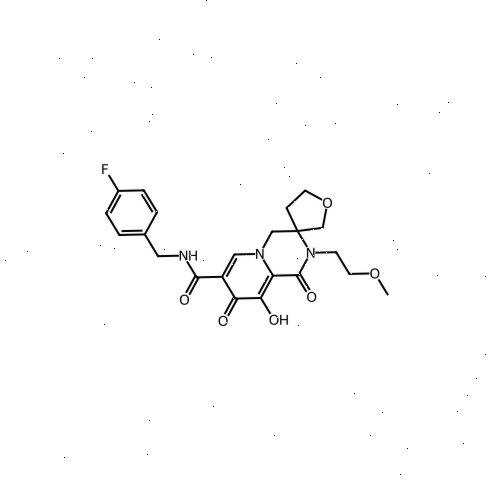 COCCN1C(=O)c2c(O)c(=O)c(C(=O)NCc3ccc(F)cc3)cn2CC12CCOC2